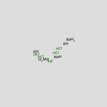 Cl.Cl.Cl.Cl.F.[BaH2].[KH].[KH].[MgH2].[NaH]